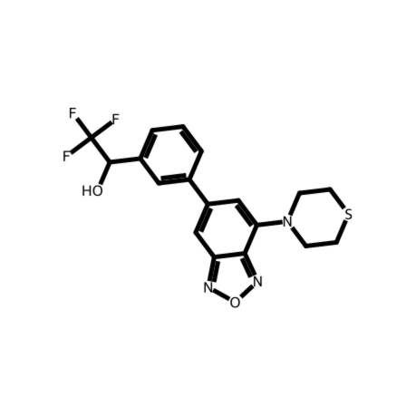 OC(c1cccc(-c2cc(N3CCSCC3)c3nonc3c2)c1)C(F)(F)F